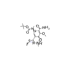 CN/N=C(/SF)c1cn(N(C)C(=O)OC(C)(C)C)c(C(N)=O)c(OC)c1=O